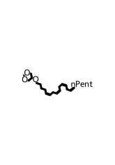 CCCCC/C=C\C/C=C\C/C=C\C/C=C\CCCCOC1COCOC1